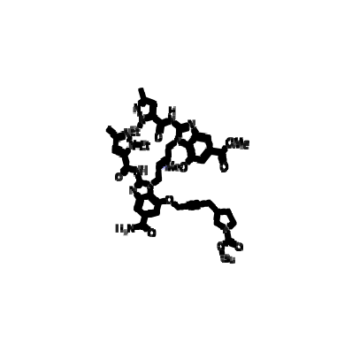 CCn1nc(C)cc1C(=O)Nc1nc2cc(C(=O)OC)cc(OC)c2n1C/C=C/Cn1c(NC(=O)c2cc(C)nn2CC)nc2cc(C(N)=O)cc(OCC#CCC3CCN(C(=O)OC(C)(C)C)C3)c21